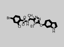 CCn1c(Oc2ccc3cc[nH]c3c2)nnc1[C@@H](C)NS(=O)(=O)c1ccc(Br)cc1Cl